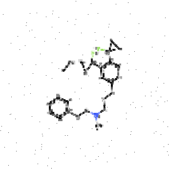 CC#N.CCCN(CCCc1ccc(C2(F)CC2)c(C2(F)CC2)c1)CCc1ccccc1